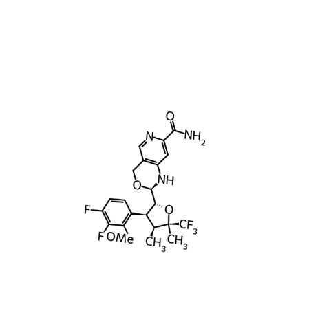 COc1c([C@H]2[C@H]([C@@H]3Nc4cc(C(N)=O)ncc4CO3)O[C@@](C)(C(F)(F)F)[C@H]2C)ccc(F)c1F